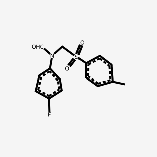 Cc1ccc(S(=O)(=O)CN(C=O)c2ccc(F)cc2)cc1